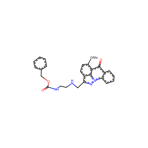 COc1ccc2c(CNCCNC(=O)OCc3ccccc3)nn3c4ccccc4c(=O)c1c23